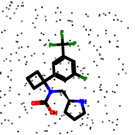 O=C(O)N(C[C@H]1CCCN1)C1(c2cc(F)cc(C(F)(F)F)c2)CCC1